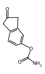 NC(=O)Oc1ccc2c(c1)CC(=O)C2